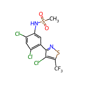 CS(=O)(=O)Nc1cc(-c2nsc(C(F)(F)F)c2Cl)c(Cl)cc1Cl